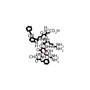 C[C@@H](O)[C@H](NC(=O)[C@H](CCCNC(N)N)NNC(Cc1c[nH]c2ccc3oc(-c4ccccc4)nc3c12)C(=O)C(=O)[C@@H](N)CC(=O)O)C(=O)C(=O)[C@H](CCCNC(N)N)NN[C@@H](Cc1ccccc1)C(=O)C=O